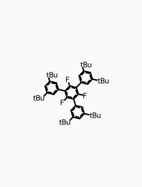 CC(C)(C)c1cc(-c2c(F)c(-c3cc(C(C)(C)C)cc(C(C)(C)C)c3)c(F)c(-c3cc(C(C)(C)C)cc(C(C)(C)C)c3)c2F)cc(C(C)(C)C)c1